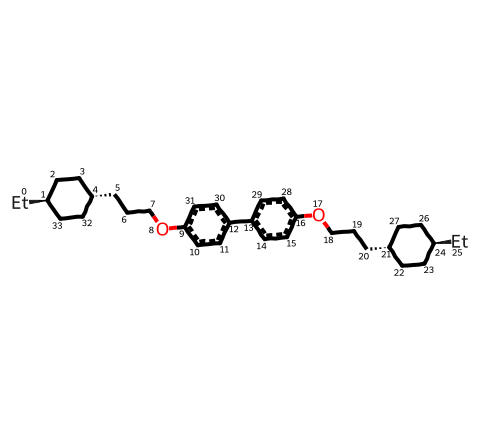 CC[C@H]1CC[C@H](CCCOc2ccc(-c3ccc(OCCC[C@H]4CC[C@H](CC)CC4)cc3)cc2)CC1